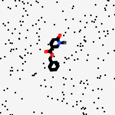 CCn1cc(C(=O)OCc2ccccc2)ccc1=O